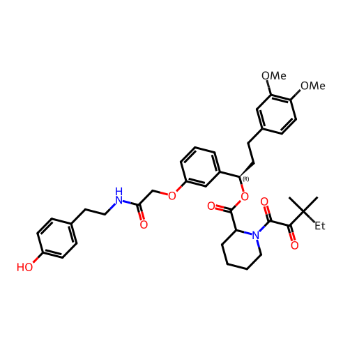 CCC(C)(C)C(=O)C(=O)N1CCCCC1C(=O)O[C@H](CCc1ccc(OC)c(OC)c1)c1cccc(OCC(=O)NCCc2ccc(O)cc2)c1